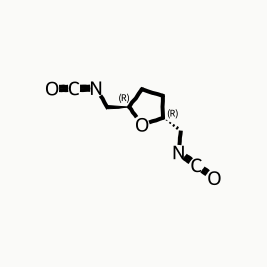 O=C=NC[C@H]1CC[C@H](CN=C=O)O1